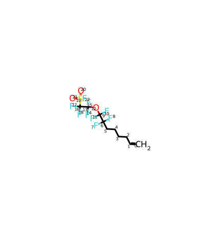 C=CCCCCC(F)(F)C(F)(F)OC(F)(F)C(F)(F)S(=O)(=O)F